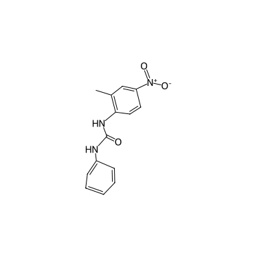 Cc1cc([N+](=O)[O-])ccc1NC(=O)Nc1ccccc1